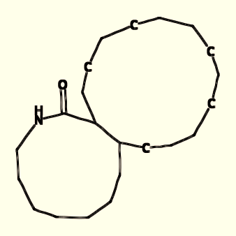 O=C1NCCCCCCCC2CCCCCCCCCCCCC12